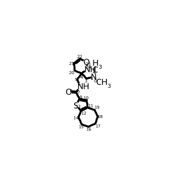 CN(C)CC1(CNC(=O)c2cc3c(s2)CCCCCC3)CC=CON1